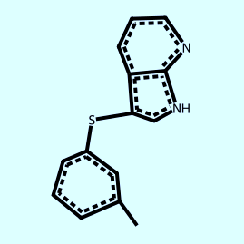 Cc1cccc(Sc2c[nH]c3ncccc23)c1